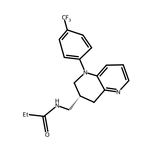 CCC(=O)NC[C@H]1Cc2ncccc2N(c2ccc(C(F)(F)F)cc2)C1